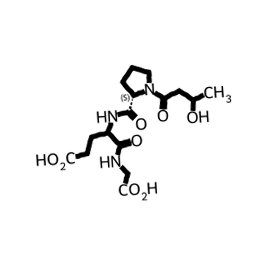 CC(O)CC(=O)N1CCC[C@H]1C(=O)NC(CCC(=O)O)C(=O)NCC(=O)O